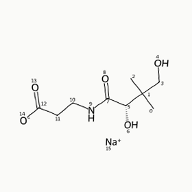 CC(C)(CO)[C@H](O)C(=O)NCCC(=O)[O-].[Na+]